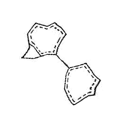 c1ccc(-c2cccc3c2C3)cc1